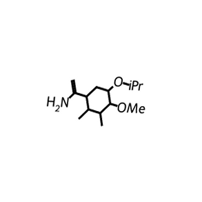 C=C(N)C1CC(OC(C)C)C(OC)C(C)C1C